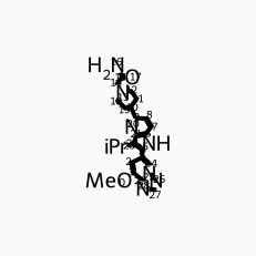 COc1cc(-c2[nH]c3ccc(C4CCN(CC(N)=O)CC4)nc3c2C(C)C)cn2ncnc12